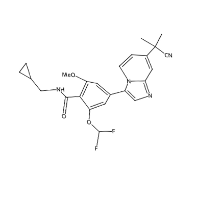 COc1cc(-c2cnc3cc(C(C)(C)C#N)ccn23)cc(OC(F)F)c1C(=O)NCC1CC1